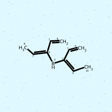 C=C/C(B/C(C=C)=C/C)=C\C